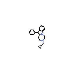 c1ccc(-c2c3n(c4ccccc24)CCN(CC2CC2)CC3)cc1